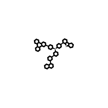 c1cc(-c2cccc(N(c3ccc(-c4ccc5c6ccccc6c6ccccc6c5c4)cc3)c3ccc(-c4cccc5c4sc4ccccc45)cc3)c2)cc(-c2cccc3ccccc23)c1